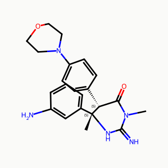 CN1C(=N)N[C@](C)(c2cccc(N)c2)[C@H](c2ccc(N3CCOCC3)cc2)C1=O